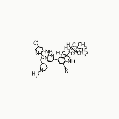 CN1CCCC(COc2ncc(Cl)cc2Nc2nccc(-c3cc(C#N)c4c(c3)[C@@](C)(CO[Si](C)(C)C(C)(C)C)CN4)n2)C1